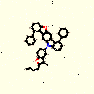 C=C/C=C\c1oc2ccc(-n3c4cc5c(cc4c4c(-c6ccccc6)cccc43)oc3cccc(-c4ccccc4)c35)cc2c1C